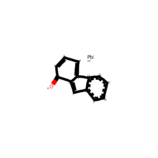 O=C1C=CC=C2C1=Cc1ccccc12.[Pb]